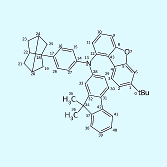 CC(C)(C)c1ccc2c(c1)oc1cccc(N(c3ccc(C45CC6CC4CC6C5)cc3)c3ccc4c(c3)C(C)(C)c3ccccc3-4)c12